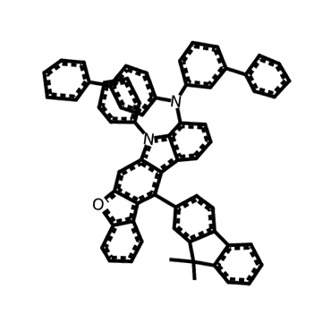 CC1(C)c2ccccc2-c2ccc(-c3c4c(cc5c3c3cccc(N(c6ccc(-c7ccccc7)cc6)c6cccc(-c7ccccc7)c6)c3n5-c3ccccc3)oc3ccccc34)cc21